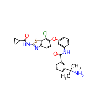 CC(C)(N)c1cccc(C(=O)Nc2cccc(Oc3ccc4nc(NC(=O)C5CC5)sc4c3Cl)c2)c1